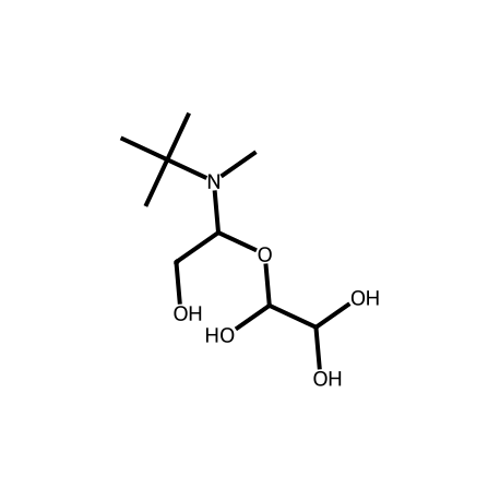 CN(C(CO)OC(O)C(O)O)C(C)(C)C